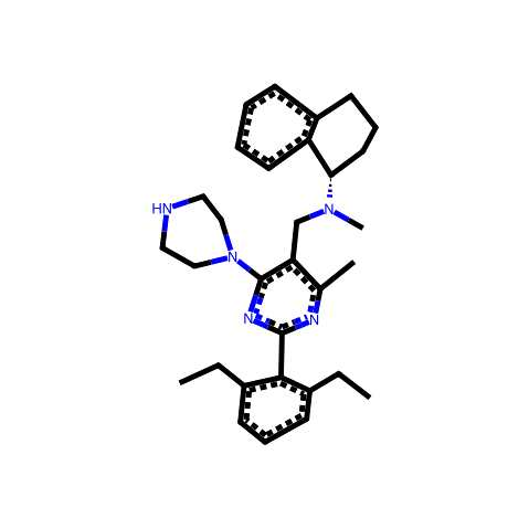 CCc1cccc(CC)c1-c1nc(C)c(CN(C)[C@H]2CCCc3ccccc32)c(N2CCNCC2)n1